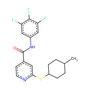 CC1CCC(Sc2cc(C(=O)Nc3cc(F)c(F)c(F)c3)ccn2)CC1